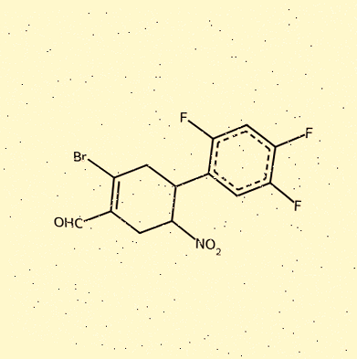 O=CC1=C(Br)CC(c2cc(F)c(F)cc2F)C([N+](=O)[O-])C1